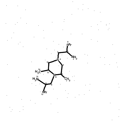 CCCC(N)CN1CC(C)N(CC(N)CCC)C(C)C1